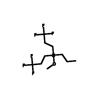 CCC[Si](CCC(F)(F)F)(CCC(F)(F)F)OC